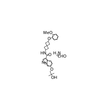 COc1ccccc1OC1CC2(CC(NC(=O)c3cnn4cc(OCC(C)(C)O)ccc34)C2)C1.NC=O